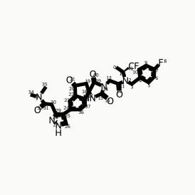 C[C@H](N(Cc1ccc(F)cc1)C(=O)CN1C(=O)NC2(CC(=O)c3cc(-c4c[nH]nc4CC(=O)N(C)C)ccc32)C1=O)C(F)(F)F